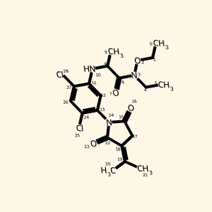 CCON(CC)C(=O)C(C)Nc1cc(N2C(=O)CC(=C(C)C)C2=O)c(Cl)cc1Cl